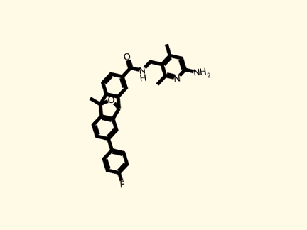 Cc1cc(N)nc(C)c1CNC(=O)C1=CC2C3OC(C)(c4ccc(-c5ccc(F)cc5)cc43)C2C=C1